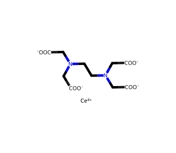 O=C([O-])CN(CCN(CC(=O)[O-])CC(=O)[O-])CC(=O)[O-].[Ce+4]